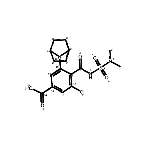 CN(C)S(=O)(=O)NC(=O)c1c(Cl)cc(C(=O)O)cc1N1C2CCC1CC2